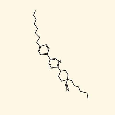 CCCCCCCCc1ccc(-c2cnc(C3CCC(C#N)(CCCCCC)CC3)nc2)cc1